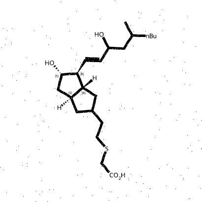 CCCCC(C)CC(O)C=C[C@H]1[C@@H]2CC(CCSCC(=O)O)C[C@H]2C[C@@H]1O